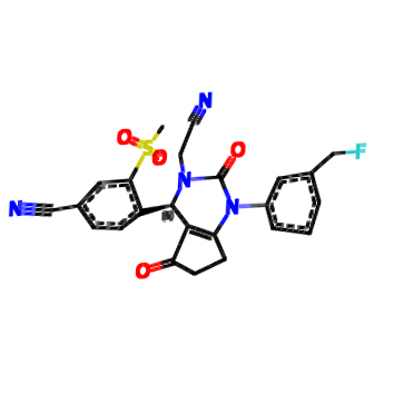 CS(=O)(=O)c1cc(C#N)ccc1[C@@H]1C2=C(CCC2=O)N(c2cccc(CF)c2)C(=O)N1CC#N